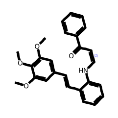 COc1cc(C=Cc2ccccc2N/C=C\C(=O)c2ccccc2)cc(OC)c1OC